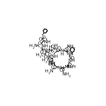 CC(C)C[C@@H]1NC(=O)[C@@H](Cc2ccccc2)NC(=O)[C@H](CCN)NC(=O)[C@@H](NC(=O)SNC(=O)[C@@H](NC(=O)[C@H](CCN)NC(=O)[C@@H](NI)C(=O)OCc2ccccc2)[C@@H](C)O)CCNC(=O)[C@H]([C@@H](C)O)NC(=O)[C@H](CCN)NC(=O)[C@H](CCN)NC1=O